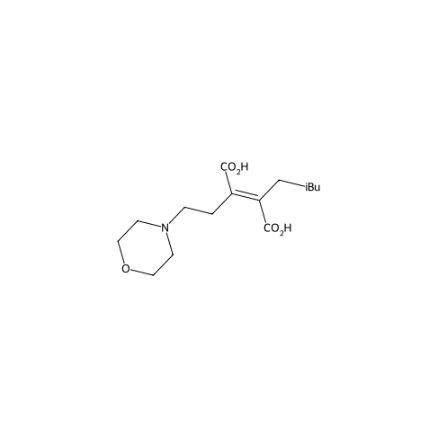 CCC(C)C/C(C(=O)O)=C(/CCN1CCOCC1)C(=O)O